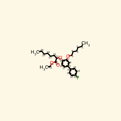 CCCCCCOc1cc(-c2ccc(F)cc2)ccc1OC(CCCCCC)C(=O)OCC